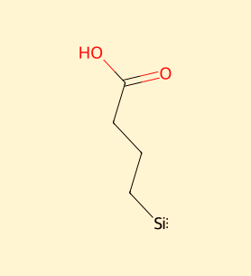 O=C(O)CCC[Si]